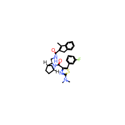 CC1=C(C(=O)NC[C@@H]2[C@H]3CC[C@H](C3)N2C(=O)c2nc(N(C)C)sc2-c2cccc(F)c2)Cc2ccccc21